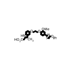 COc1cc(-c2nc(OC(C)C)cs2)ccc1OCCCOc1ccc2[nH]c(CC(=O)O)c(C)c2c1